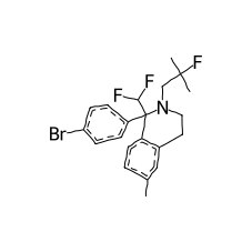 Cc1ccc2c(c1)CCN(CC(C)(C)F)C2(c1ccc(Br)cc1)C(F)F